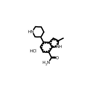 Cc1cc2c(C3CCCNC3)ccc(C(N)=O)c2[nH]1.Cl